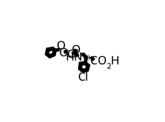 O=C(O)C[C@@H](CNC(=O)OCOC(=O)c1ccccc1)c1ccc(Cl)cc1